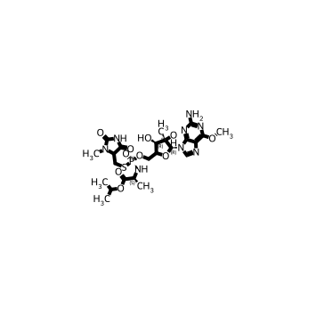 COc1nc(N)nc2c1ncn2[C@@H]1OC(CO[P@@](=O)(N[C@@H](C)C(=O)OC(C)C)SCC2C(=O)NC(=O)N2C)[C@@H](O)[C@@]1(C)O